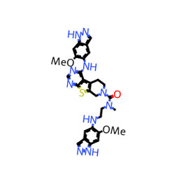 COc1cc2[nH]ncc2cc1NCCN(C)C(=O)N1CCc2c(sc3ncnc(Nc4cc5cn[nH]c5cc4OC)c23)C1